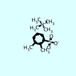 C[N+](C)(C)C.Cc1cccc(S(=O)(=O)[O-])c1C